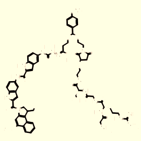 COc1ccc(C(OCC/C(C)=N\NC(=O)Nc2ccc3[nH]c(C(=O)Nc4ccc5[nH]c(C(=O)N6CC(CCl)c7c6cc(OC(C)=O)c6ccccc76)cc5c4)cc3c2)OCCN2C(=O)CC(SCCNC(=O)[C@H](CC(=O)O)NC(=O)CNC(=O)[C@H](CCCNC(=N)N)NC(=O)CN)C2=O)cc1